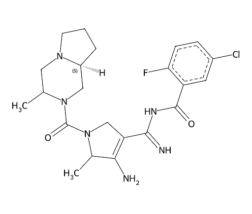 CC1CN2CCC[C@H]2CN1C(=O)N1CC(C(=N)NC(=O)c2cc(Cl)ccc2F)=C(N)C1C